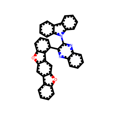 c1ccc2nc(-n3c4ccccc4c4ccccc43)c(-c3cccc4oc5cc6c(cc5c34)oc3ccccc36)nc2c1